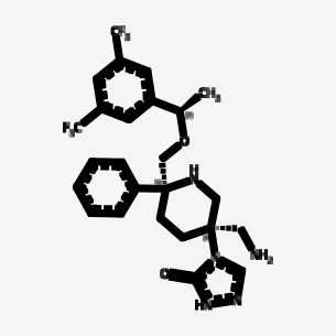 C[C@@H](OC[C@@]1(c2ccccc2)CC[C@](CN)(n2cn[nH]c2=O)CN1)c1cc(C(F)(F)F)cc(C(F)(F)F)c1